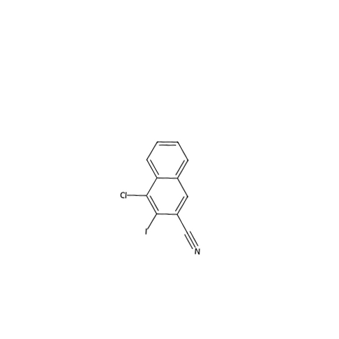 N#Cc1cc2ccccc2c(Cl)c1I